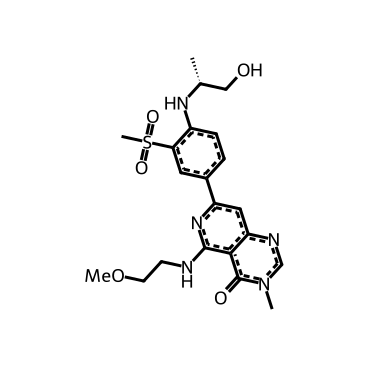 COCCNc1nc(-c2ccc(N[C@H](C)CO)c(S(C)(=O)=O)c2)cc2ncn(C)c(=O)c12